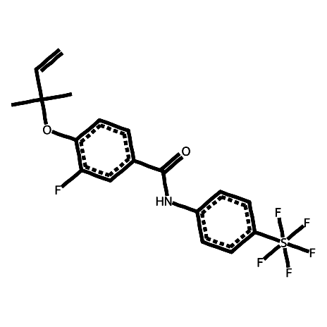 C=CC(C)(C)Oc1ccc(C(=O)Nc2ccc(S(F)(F)(F)(F)F)cc2)cc1F